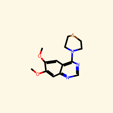 COc1cc2ncnc(N3CCSCC3)c2cc1OC